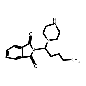 CCCCC(N1CCNCC1)N1C(=O)c2ccccc2C1=O